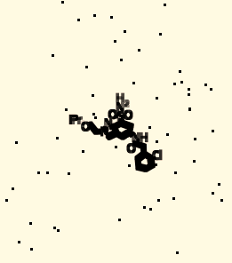 CC(C)OCCn1cc2cc(NC(=O)Cc3ccccc3Cl)cc(S(N)(=O)=O)c2n1